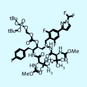 COC(=O)N[C@H](C(=O)N[C@@H](Cc1ccc(I)cc1)[C@H](CN(Cc1c(F)cc(-c2ccn(C(F)F)n2)cc1F)NC(=O)[C@@H](NC(=O)OC)C(C)(C)C(F)(F)F)OC(=O)OCOP(=O)(OC(C)(C)C)OC(C)(C)C)C(C)(C)C(F)(F)F